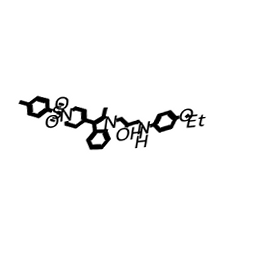 CCOc1ccc(NCC(O)Cn2c(C)c(C3=CCN(S(=O)(=O)c4ccc(C)cc4)CC3)c3ccccc32)cc1